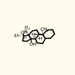 CC[C@@]1(O)CC[C@@]2(O)[C@@H]3CCC4CCCC[C@]4(C)[C@H]3CC[C@]12C